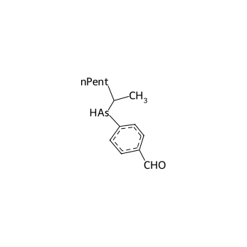 CCCCCC(C)[AsH]c1ccc(C=O)cc1